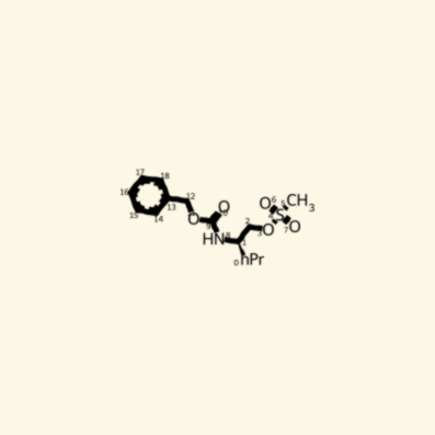 CCC[C@H](COS(C)(=O)=O)NC(=O)OCc1ccccc1